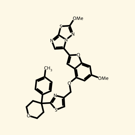 COc1cc(OCc2csc(C3(c4ccc(C)cc4)CCOCC3)n2)c2cc(-c3cnc4sc(OC)nn34)oc2c1